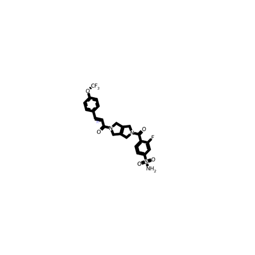 NS(=O)(=O)C1=C=C=C(C(=O)N2CC3=C(CN(C(=O)/C=C/c4ccc(OC(F)(F)F)cc4)C3)C2)C(F)=C1